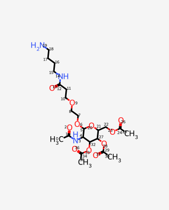 CC(=O)NC1C(OCCOCCC(=O)NCCCCN)OC(COC(C)=O)C(OC(C)=O)C1OC(C)=O